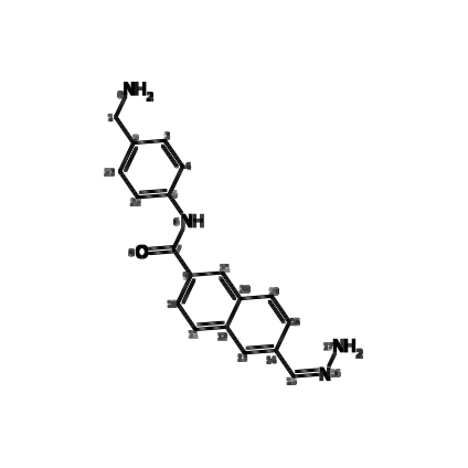 NCc1ccc(NC(=O)c2ccc3cc(/C=N\N)ccc3c2)cc1